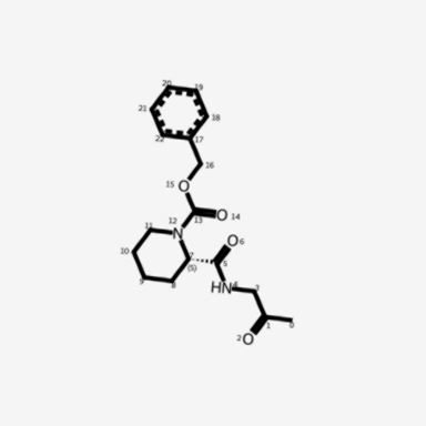 CC(=O)CNC(=O)[C@@H]1CCCCN1C(=O)OCc1ccccc1